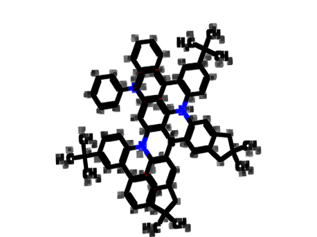 CC1(C)Cc2cc3c(cc2C1)N(c1ccc(C(C)(C)C)cc1-c1ccccc1)c1cc(N(c2ccccc2)c2ccccc2)cc2c1B3c1cc3c(cc1N2c1ccc(C(C)(C)C)cc1-c1ccccc1)CC(C)(C)C3